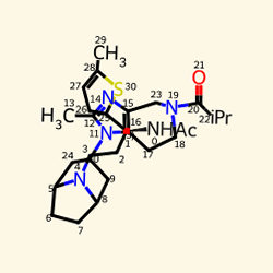 CC(=O)N[C@@H](CCN1C2CCC1CC(n1c(C)nc3c1CCN(C(=O)C(C)C)C3)C2)C1CC=C(C)S1